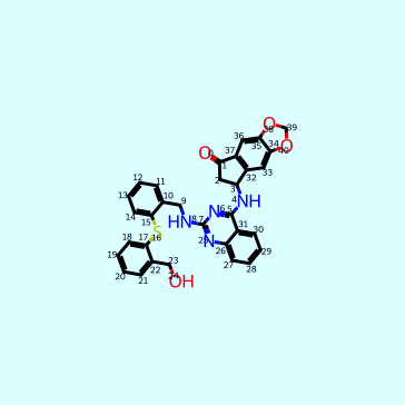 O=C1CC(Nc2nc(NCc3ccccc3Sc3ccccc3CO)nc3ccccc23)c2cc3c(cc21)OCO3